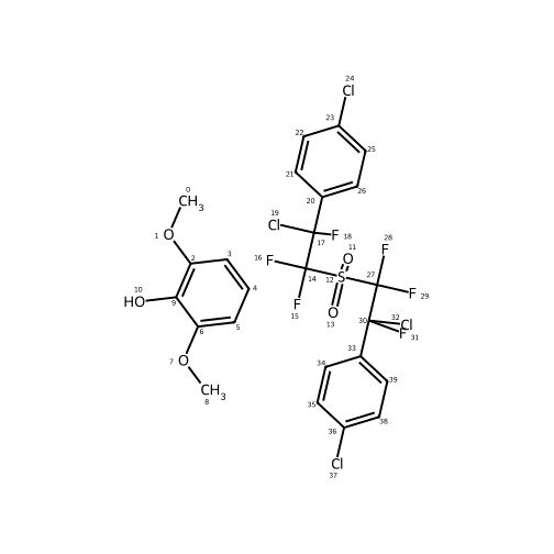 COc1cccc(OC)c1O.O=S(=O)(C(F)(F)C(F)(Cl)c1ccc(Cl)cc1)C(F)(F)C(F)(Cl)c1ccc(Cl)cc1